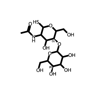 CC(=O)NC1C(S)OC(CO)[C@@H](OC2OC(CO)[C@H](O)C(O)C2O)C1O